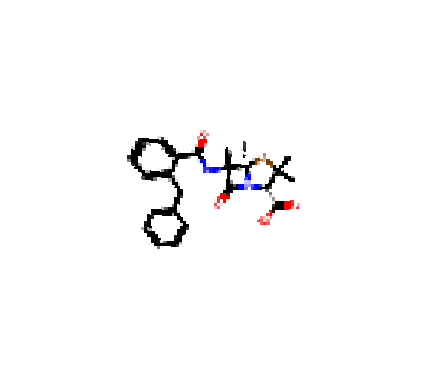 CC1(C)S[C@H]2N(C(=O)C2(C)NC(=O)c2ccccc2Cc2ccccc2)[C@H]1C(=O)O